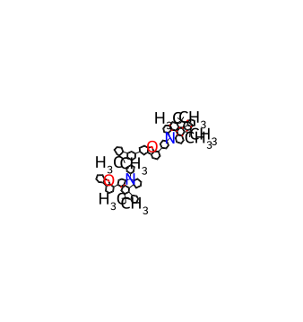 CC1(C)c2ccccc2-c2cc(-c3ccccc3N(c3ccc(-c4cccc5c4oc4ccc(-c6cc(-c7ccc(N(c8ccc(-c9cccc%10c9oc9ccccc9%10)cc8)c8ccccc8-c8cccc9c8-c8ccccc8C9(C)C)cc7)c7c(c6)-c6ccccc6C7(C)C)cc45)cc3)c3ccccc3-c3cccc4c3-c3ccccc3C4(C)C)ccc21